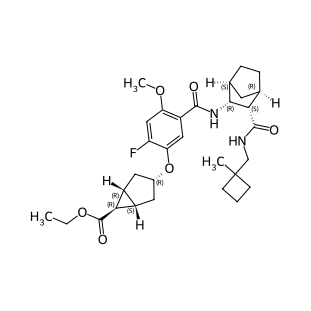 CCOC(=O)[C@H]1[C@@H]2C[C@H](Oc3cc(C(=O)N[C@@H]4[C@H]5CC[C@H](C5)[C@@H]4C(=O)NCC4(C)CCC4)c(OC)cc3F)C[C@@H]21